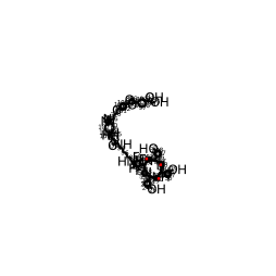 O=C(NCCCCCCNc1c(F)c(F)c(-c2c3nc(c(-c4cccc(O)c4)c4ccc([nH]4)c(-c4cccc(O)c4)c4nc(c(-c5cccc(O)c5)c5ccc2[nH]5)C=C4)C=C3)c(F)c1F)OC[C@@H]1[C@@H]2CCc3c(nnn3CCCOc3ccc(C4OCC(C5CC=C(C(O)CO)CCC5)O4)cc3)CC[C@@H]21